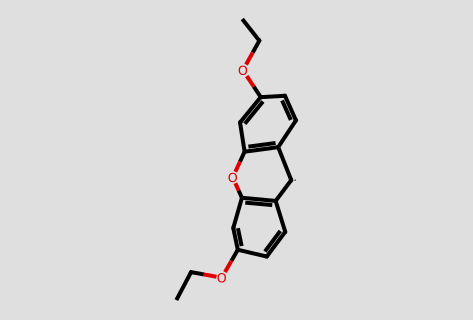 CCOc1ccc2c(c1)Oc1cc(OCC)ccc1[CH]2